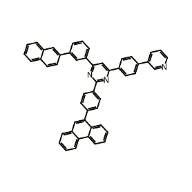 c1cncc(-c2ccc(-c3cc(-c4cccc(-c5ccc6ccccc6c5)c4)nc(-c4ccc(-c5cc6ccccc6c6ccccc56)cc4)n3)cc2)c1